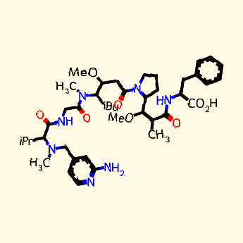 CCC(C)C(C(CC(=O)N1CCCC1C(OC)C(C)C(=O)NC(Cc1ccccc1)C(=O)O)OC)N(C)C(=O)CNC(=O)C(C(C)C)N(C)Cc1ccnc(N)c1